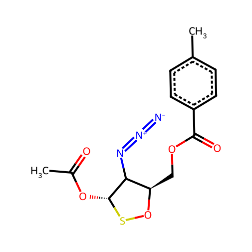 CC(=O)O[C@H]1SO[C@H](COC(=O)c2ccc(C)cc2)C1N=[N+]=[N-]